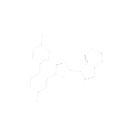 Cc1[nH]c2ccccc2c1C1=NC2c3cc([N+](=O)[O-])ccc3-c3ccc([N+](=O)[O-])cc3C2N1